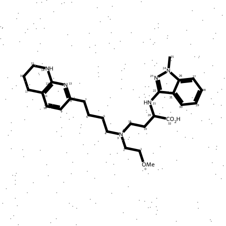 COCCN(CCCCc1ccc2c(n1)NCCC2)CCC(Nc1nn(C)c2ccccc12)C(=O)O